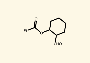 CCC(=O)OC1CCCCC1[C]=O